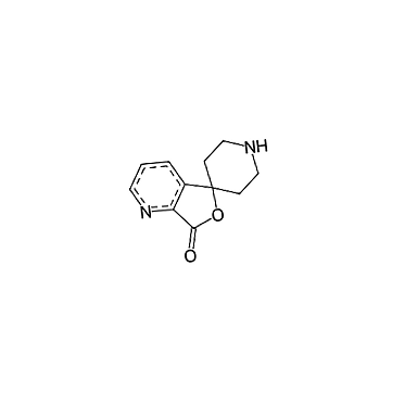 O=C1OC2(CCNCC2)c2cccnc21